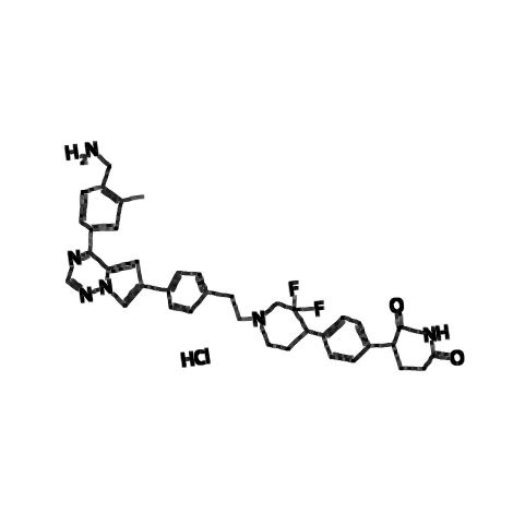 Cc1cc(-c2ncnn3cc(-c4ccc(CCN5CCC(c6ccc(C7CCC(=O)NC7=O)cc6)C(F)(F)C5)cc4)cc23)ccc1CN.Cl